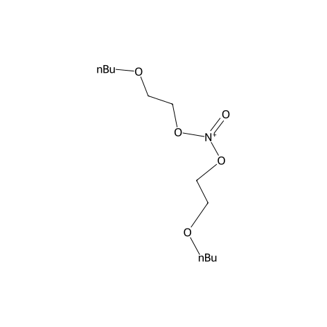 CCCCOCCO[N+](=O)OCCOCCCC